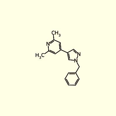 Cc1cc(-c2cnn(Cc3ccccc3)c2)cc(C)n1